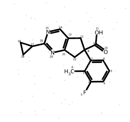 Cc1c(F)cccc1C1(C(=O)O)Cc2cnc(C3CC3)nc2C1